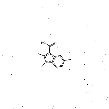 Cc1ccc2c(c1)c(C(=O)O)c(C)n2C